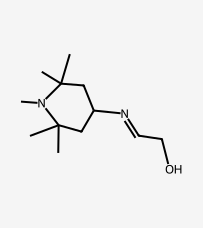 CN1C(C)(C)CC(N=CCO)CC1(C)C